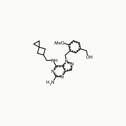 COc1ccc(CO)cc1Cn1ncc2nc(N)nc(NCC3CC4(CC4)C3)c21